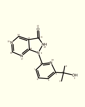 CC(C)(O)c1cccc(-n2[nH]c(=O)c3cncnc32)n1